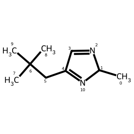 CC1N=CC(CC(C)(C)C)=N1